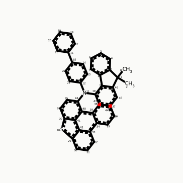 CC1(C)c2ccccc2-c2c(N(c3ccc(-c4ccccc4)cc3)c3ccc4sc5cccc6c7ccccc7c3c4c56)cccc21